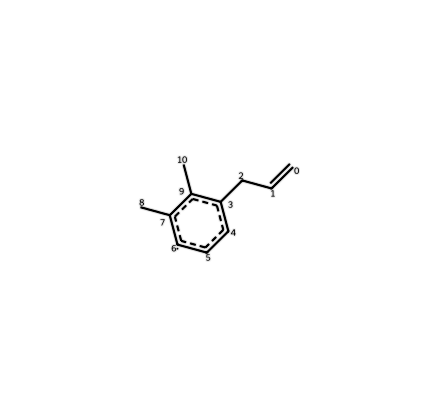 C=CCc1cc[c]c(C)c1C